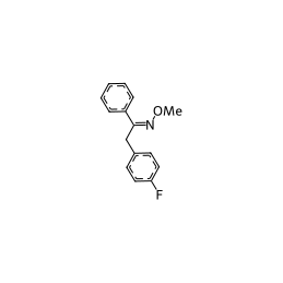 CON=C(Cc1ccc(F)cc1)c1ccccc1